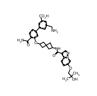 CC(C)(O)COc1ccc2c(C(=O)NC3CC4(C3)CC(Oc3cc(-c5cc(CN)cc(C(=O)O)c5)ccc3C(N)=O)C4)cnn2c1